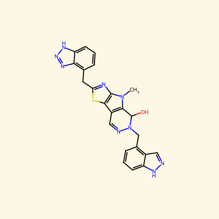 Cn1c2c(c3sc(Cc4cccc5[nH]nnc45)nc31)C=NN(Cc1cccc3[nH]ncc13)C2O